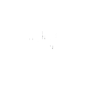 CCCCCCCn1c(C)cc(=O)[nH]c1=S